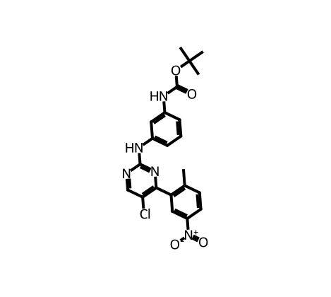 Cc1ccc([N+](=O)[O-])cc1-c1nc(Nc2cccc(NC(=O)OC(C)(C)C)c2)ncc1Cl